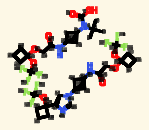 CC(C)(C)N(C(=O)O)C12CC(NC(=O)COC3(OC(F)(F)F)CCC3)(C1)C2.O=C(COC1(OC(F)(F)F)CCC1)NC12CC(n3cnc(C4(OC(F)(F)F)CCC4)c3)(C1)C2